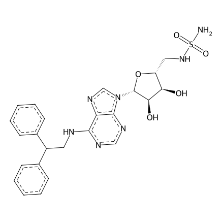 NS(=O)(=O)NC[C@H]1O[C@@H](n2cnc3c(NCC(c4ccccc4)c4ccccc4)ncnc32)[C@H](O)[C@@H]1O